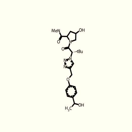 CNC(=O)C1CC(O)CN1C(=O)[C@@H](n1cc(COc2ccc(C(C)O)cc2)nn1)C(C)(C)C